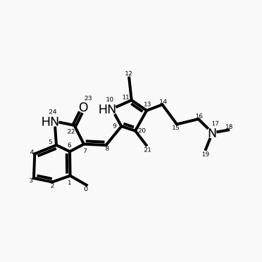 Cc1cccc2c1/C(=C/c1[nH]c(C)c(CCCN(C)C)c1C)C(=O)N2